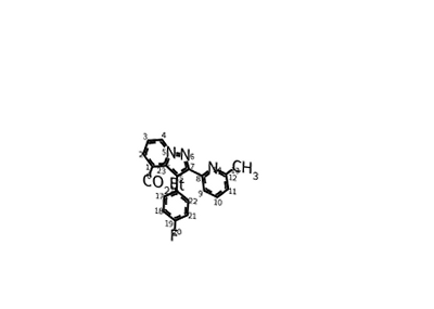 CCOC(=O)c1cccn2nc(-c3cccc(C)n3)c(-c3ccc(F)cc3)c12